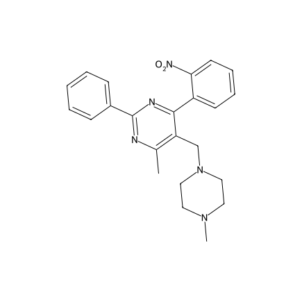 Cc1nc(-c2ccccc2)nc(-c2ccccc2[N+](=O)[O-])c1CN1CCN(C)CC1